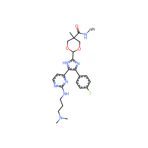 CCCNC(=O)C1(C)COC(c2nc(-c3ccc(F)cc3)c(-c3ccnc(NCCCN(C)C)n3)[nH]2)OC1